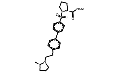 CNC(=O)[C@@H]1CCCN1S(=O)(=O)c1ccc(-c2ccc(CCN3CCC[C@H]3C)cc2)cc1